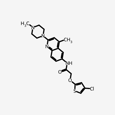 Cc1cc(N2CCN(C)CC2)nc2ccc(NC(=O)COc3cc(Cl)cs3)cc12